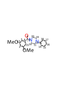 COc1cc(OC)cc(C(=O)N2CCN(c3ccccc3)CC2)c1